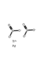 O=[Si]([O-])[O-].O=[Si]([O-])[O-].[Pd].[Ti+4]